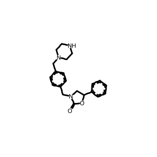 O=C1OC(c2ccccc2)CN1Cc1ccc(CN2CCNCC2)cc1